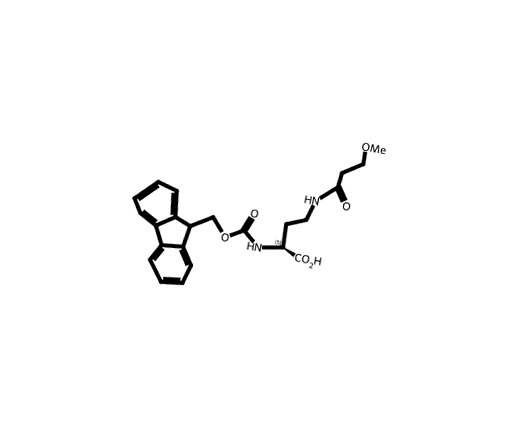 COCCC(=O)NCC[C@H](NC(=O)OCC1c2ccccc2-c2ccccc21)C(=O)O